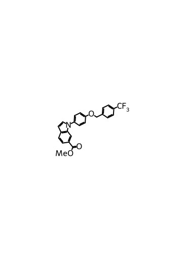 COC(=O)c1ccc2ccn(-c3ccc(OCc4ccc(C(F)(F)F)cc4)cc3)c2c1